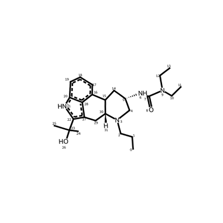 CCCN1C[C@@H](NC(=O)N(CC)CC)CC2c3cccc4[nH]c(C(C)(C)O)c(c34)C[C@H]21